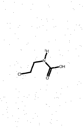 [2H]N(CCCl)C(=O)O